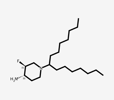 CCCCCCCC(CCCCCCC)N1CC[C@H](N)[C@@H](F)C1